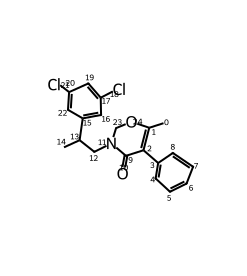 CC1=C(c2ccccc2)C(=O)N(CC(C)c2cc(Cl)cc(Cl)c2)CO1